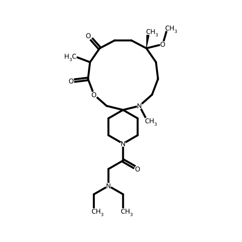 CCN(CC)CC(=O)N1CCC2(CC1)COC(=O)C(C)C(=O)CC[C@](C)(OC)CCCN2C